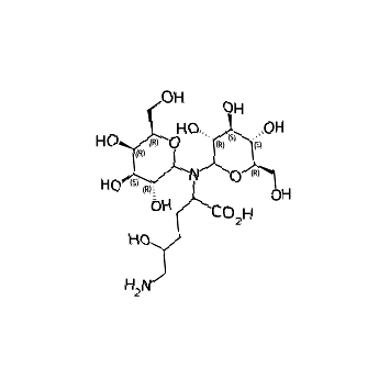 NCC(O)CCC(C(=O)O)N(C1O[C@H](CO)[C@H](O)[C@H](O)[C@H]1O)C1O[C@H](CO)[C@@H](O)[C@H](O)[C@H]1O